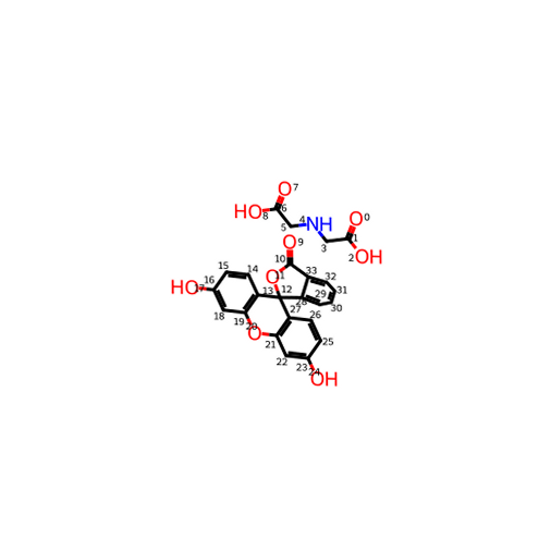 O=C(O)CNCC(=O)O.O=C1OC2(c3ccc(O)cc3Oc3cc(O)ccc32)c2ccccc21